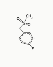 CS(=O)(=O)Cc1c[c]c(F)cc1